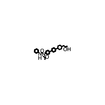 C=C(O)CC1CCC(c2ccc(-c3ccc4c(c3)OC(C)CN4C(=O)Nc3ccccc3)cc2)CC1